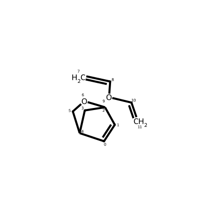 C1=CC2CC1CO2.C=COC=C